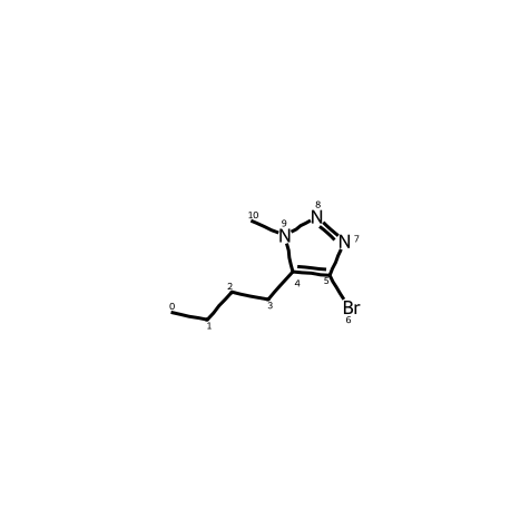 CCCCc1c(Br)nnn1C